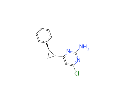 Nc1nc(Cl)cc([C@@H]2C[C@H]2c2ccccc2)n1